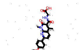 COc1ccc(-c2ccc3c(C)c(C(=O)NCC(=O)O)c(=O)n(C)c3n2)cc1